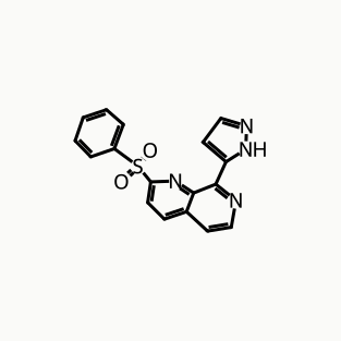 O=S(=O)(c1ccccc1)c1ccc2ccnc(-c3ccn[nH]3)c2n1